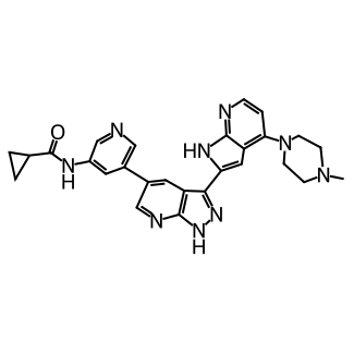 CN1CCN(c2ccnc3[nH]c(-c4n[nH]c5ncc(-c6cncc(NC(=O)C7CC7)c6)cc45)cc23)CC1